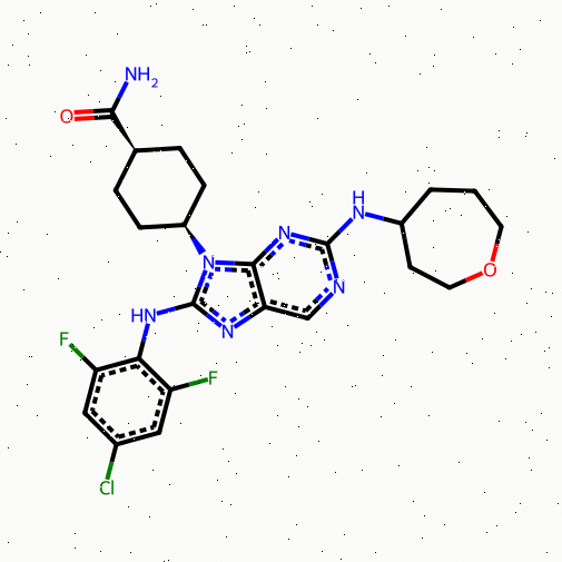 NC(=O)[C@H]1CC[C@@H](n2c(Nc3c(F)cc(Cl)cc3F)nc3cnc(NC4CCCOCC4)nc32)CC1